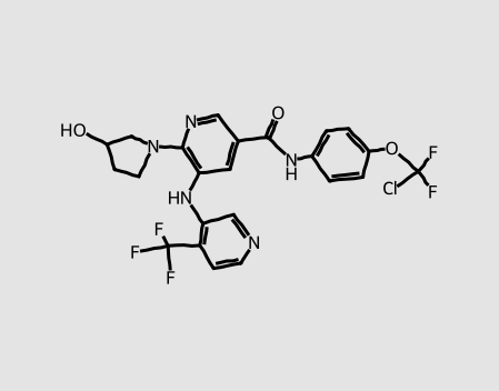 O=C(Nc1ccc(OC(F)(F)Cl)cc1)c1cnc(N2CCC(O)C2)c(Nc2cnccc2C(F)(F)F)c1